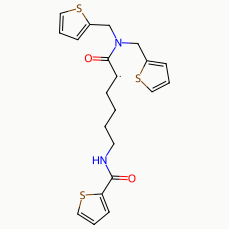 O=C(NCCCC[CH]C(=O)N(Cc1cccs1)Cc1cccs1)c1cccs1